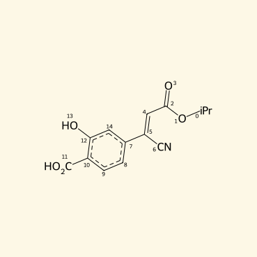 CC(C)OC(=O)C=C(C#N)c1ccc(C(=O)O)c(O)c1